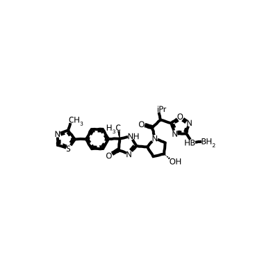 BBc1noc(C(C(=O)N2C[C@H](O)CC2C2=NC(=O)[C@](C)(c3ccc(-c4scnc4C)cc3)N2)C(C)C)n1